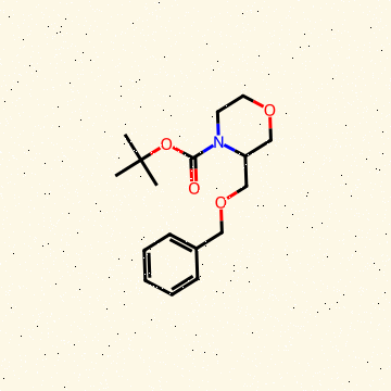 CC(C)(C)OC(=O)N1CCOCC1COCc1ccccc1